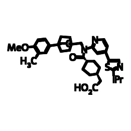 COc1ccc(C23CCC(CN(c4cc(-c5cnc(C(C)C)s5)ccn4)C(=O)[C@H]4CC[C@H](CC(=O)O)CC4)(CC2)CC3)cc1C